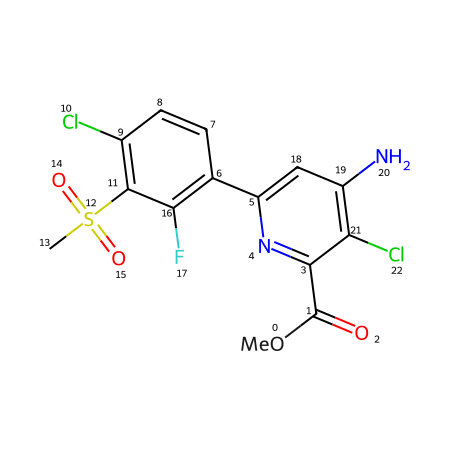 COC(=O)c1nc(-c2ccc(Cl)c(S(C)(=O)=O)c2F)cc(N)c1Cl